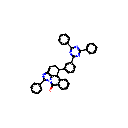 O=c1c2ccccc2c2c3c(nc(-c4ccccc4)n13)=CCC2c1cccc(-c2nc(-c3ccccc3)nc(-c3ccccc3)n2)c1